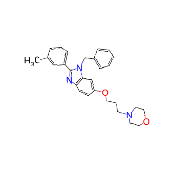 Cc1cccc(-c2nc3ccc(OCCCN4CCOCC4)cc3n2Cc2ccccc2)c1